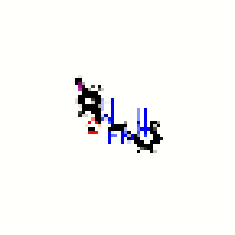 O=C(NCCNC1CCCCN1)c1ccc(I)cc1